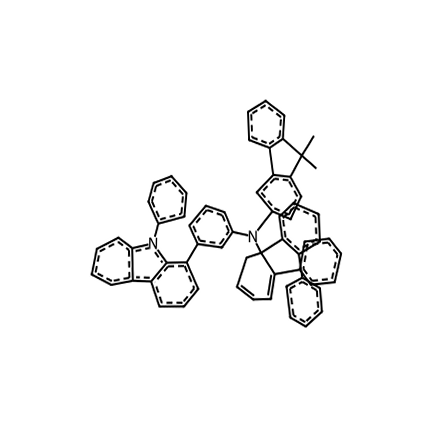 CC1(C)c2ccccc2-c2cc(N(c3cccc(-c4cccc5c6ccccc6n(-c6ccccc6)c45)c3)C3(c4ccccc4-c4ccccc4)CC=CC=C3c3ccccc3)ccc21